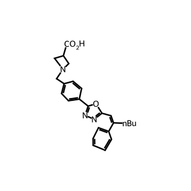 CCCC/C(=C/c1nnc(-c2ccc(CN3CC(C(=O)O)C3)cc2)o1)c1ccccc1